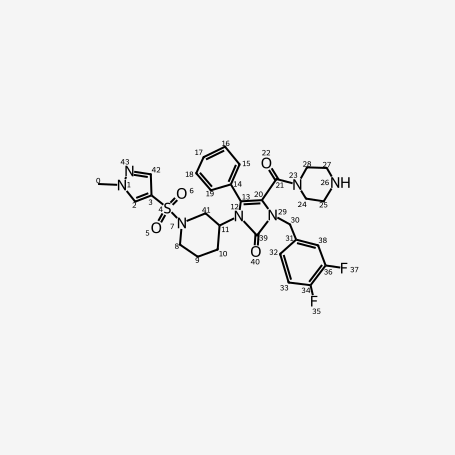 Cn1cc(S(=O)(=O)N2CCCC(n3c(-c4ccccc4)c(C(=O)N4CCNCC4)n(Cc4ccc(F)c(F)c4)c3=O)C2)cn1